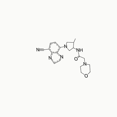 CC1CN(c2ccc(C#N)c3nccnc23)CC1NC(=O)CN1CCOCC1